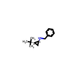 CC(C)(C)[C@H]1C[C@@H]1NCc1ccccc1